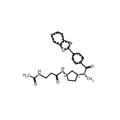 CC(=O)NCCC(=O)N[C@@H]1CC[C@H](N(C)C(=O)c2ccc(-c3nc4ccccc4o3)cc2)C1